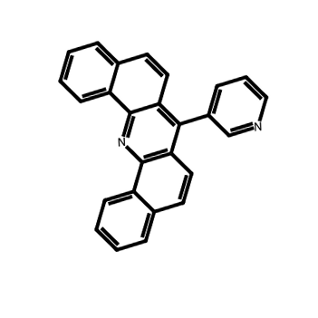 c1cncc(-c2c3ccc4ccccc4c3nc3c2ccc2ccccc23)c1